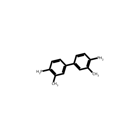 Cc1cc(-c2ccc(P)c(C)c2)ccc1P